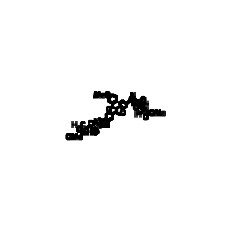 C=C([C@H](C)NC(=O)OC)N1CCC[C@H]1c1ncc(-c2ccc3c(c2)OC(c2cccc(OC)c2)C2=C3COc3cc(-c4cnc([C@@H]5CCCN5C(=O)[C@@H](NC(=O)OC)C(C)C)[nH]4)ccc32)[nH]1